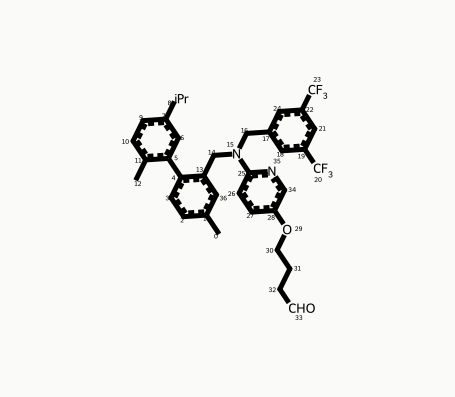 Cc1ccc(-c2cc(C(C)C)ccc2C)c(CN(Cc2cc(C(F)(F)F)cc(C(F)(F)F)c2)c2ccc(OCCCC=O)cn2)c1